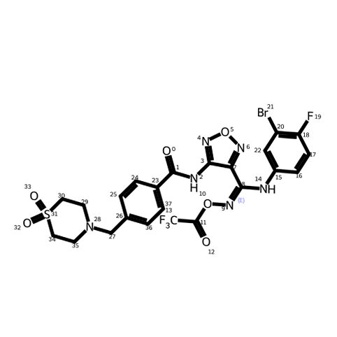 O=C(Nc1nonc1/C(=N\OC(=O)C(F)(F)F)Nc1ccc(F)c(Br)c1)c1ccc(CN2CCS(=O)(=O)CC2)cc1